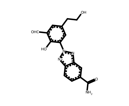 NC(=O)c1ccc2nn(-c3cc(CCO)cc(C=O)c3O)nc2c1